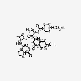 CCOC(=O)N1CCN(C(=O)CN(C)C(=O)c2cc(OCC(=O)N3CCC[C@H]3C(=O)NC3CCC3)c3ccc(C)cc3n2)CC1